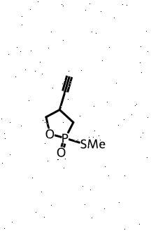 C#CC1COP(=O)(SC)C1